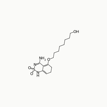 NC1=NS(=O)(=O)NC2=CCCC(OCCCCCCCCO)=C21